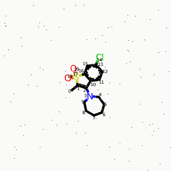 CC1=C(N2CCCCCC2)c2ccc(Cl)cc2S1(=O)=O